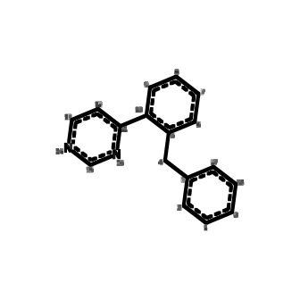 c1ccc(Cc2ccccc2-c2ccncn2)cc1